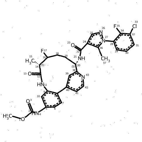 COC(=O)Nc1ccc2c(c1)NC(=O)[C@H](C)C(F)CC[C@H](NC(=O)c1cnn(-c3cccc(Cl)c3F)c1C)c1cc-2ccn1